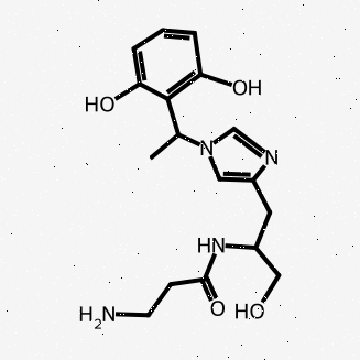 CC(c1c(O)cccc1O)n1cnc(CC(CO)NC(=O)CCN)c1